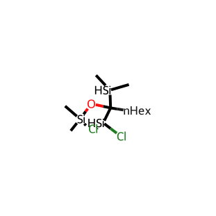 CCCCCCC(O[Si](C)(C)C)([SiH](C)C)[SiH](Cl)Cl